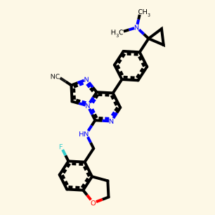 CN(C)C1(c2ccc(-c3cnc(NCc4c(F)ccc5c4CCO5)n4cc(C#N)nc34)cc2)CC1